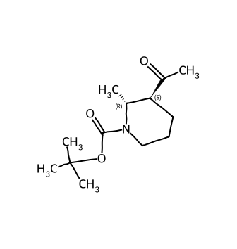 CC(=O)[C@H]1CCCN(C(=O)OC(C)(C)C)[C@@H]1C